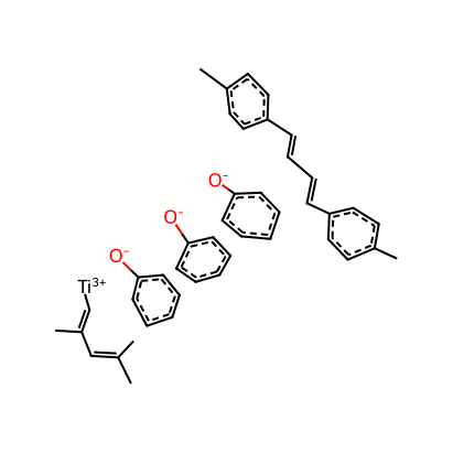 CC(C)=CC(C)=[CH][Ti+3].Cc1ccc(C=CC=Cc2ccc(C)cc2)cc1.[O-]c1ccccc1.[O-]c1ccccc1.[O-]c1ccccc1